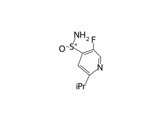 CC(C)c1cc([S+](N)[O-])c(F)cn1